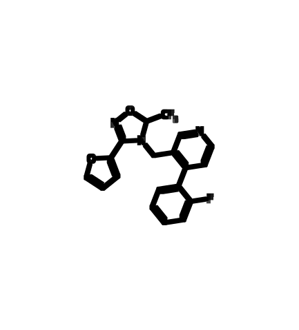 Fc1ccccc1-c1ccncc1CN1C(c2ccco2)=NOC1C(F)(F)F